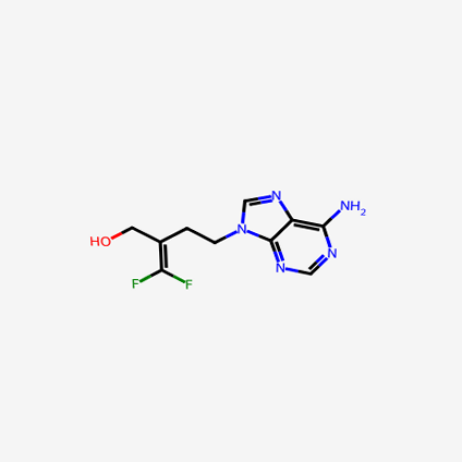 Nc1ncnc2c1ncn2CCC(CO)=C(F)F